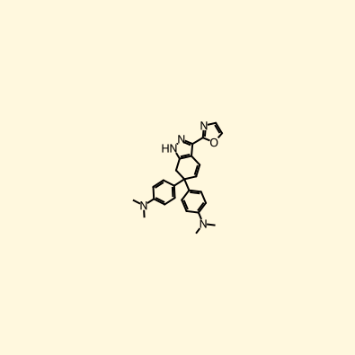 CN(C)c1ccc(C2(c3ccc(N(C)C)cc3)C=Cc3c(-c4ncco4)n[nH]c3C2)cc1